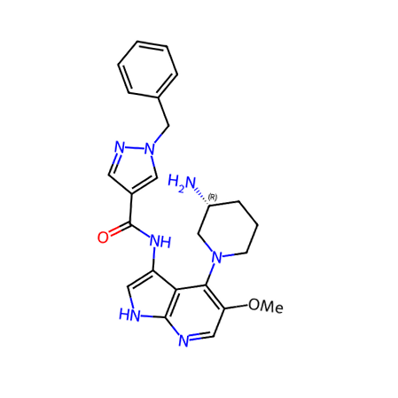 COc1cnc2[nH]cc(NC(=O)c3cnn(Cc4ccccc4)c3)c2c1N1CCC[C@@H](N)C1